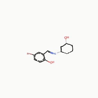 Oc1ccc(Br)cc1C=N[C@H]1CCC[C@@H](O)C1